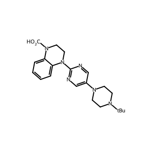 CC(C)(C)N1CCN(c2cnc(N3CCN(C(=O)O)c4ccccc43)nc2)CC1